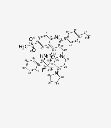 CS(=O)(=O)c1ccc2nc(-c3ccc(CF)cc3)c(CN3CCC(N4CCCC4)CC3)c(C(=O)N[C@H](c3ccccc3)C(F)(F)F)c2c1